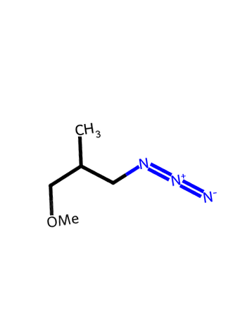 COCC(C)CN=[N+]=[N-]